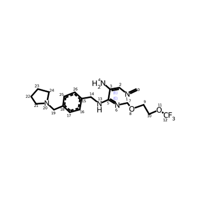 C=N/C=C(N)\C(=N/COCCOC(F)(F)F)NCc1ccc(CN2CCCC2)cc1